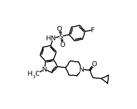 Cn1cc(C2CCN(C(=O)CC3CC3)CC2)c2cc(NS(=O)(=O)c3ccc(F)cc3)ccc21